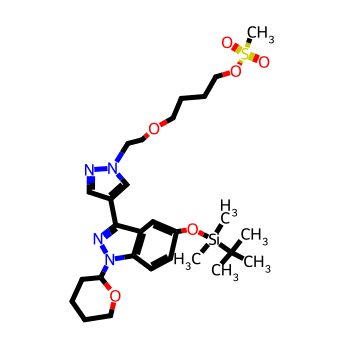 CC(C)(C)[Si](C)(C)Oc1ccc2c(c1)c(-c1cnn(CCOCCCCOS(C)(=O)=O)c1)nn2C1CCCCO1